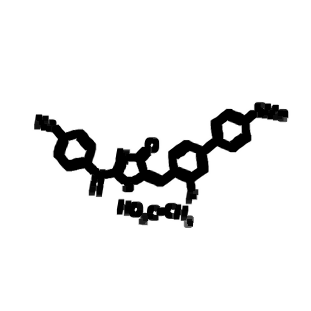 CC(=O)O.CSc1ccc(-c2ccc(C=C3SC(Nc4cc[c]([Na])cc4)=NC3=O)c(F)c2)cc1